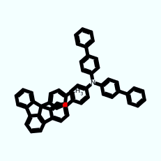 Cc1ccc(C23c4ccccc4-c4cccc(c42)-c2ccc(-c4ccc(N(c5ccc(-c6ccccc6)cc5)c5ccc(-c6ccccc6)cc5)cc4)cc23)cc1